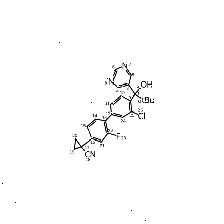 CC(C)(C)C(O)(c1cncnc1)c1ccc(-c2ccc(C3(C#N)CC3)cc2F)cc1Cl